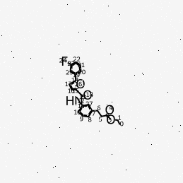 CCOC(=O)CCc1cccc(NC(=O)c2ccc(-c3cccc(F)c3)o2)c1